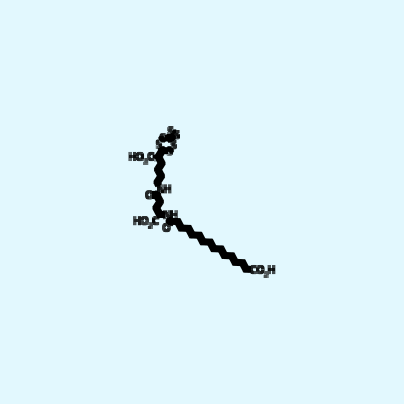 O=C(O)CCCCCCCCCCCCCCC(=O)N[C@@H](CCC(=O)NCCCC[C@@H](C(=O)O)C1SSC2(SS1)SS2)C(=O)O